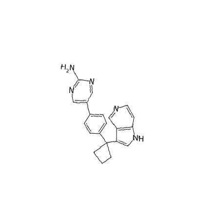 Nc1ncc(-c2ccc(C3(c4c[nH]c5ccncc45)CCC3)cc2)cn1